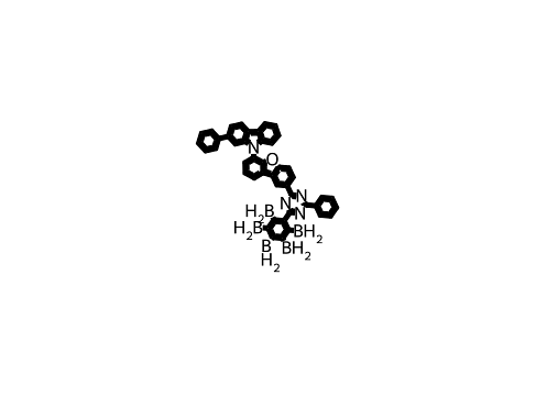 Bc1c(B)c(B)c(-c2nc(-c3ccccc3)nc(-c3ccc4oc5c(-n6c7ccccc7c7ccc(-c8ccccc8)cc76)cccc5c4c3)n2)c(B)c1B